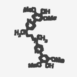 COc1cc(-c2ccc(N(C)CCCN(C)c3ccc(-c4cc(OC)c(O)c(OC)c4)nc3)cn2)cc(OC)c1O